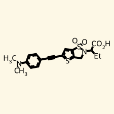 CCC(C(=O)O)N1Cc2sc(C#Cc3ccc(N(C)C)cc3)cc2S1(=O)=O